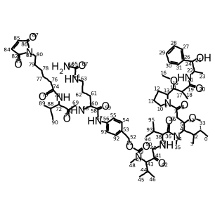 CCC(C)C(C(CC(=O)N1CCCC1C(OC)C(C)C(=O)NC(C)C(O)c1ccccc1)OC)N(C)C(=O)C(NCC(=O)C(C(C)C)N(C)C(=O)OCc1ccc(NC(=O)C(CCCNC(N)=O)NCC(=O)C(NC(=O)CCCCCN2C(=O)C=CC2=O)C(C)C)cc1)C(C)C